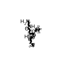 C[Si](C)(C)CCOC(=O)N[C@@H](CCC(=O)NCCN)C(=O)OCC[Si](C)(C)C